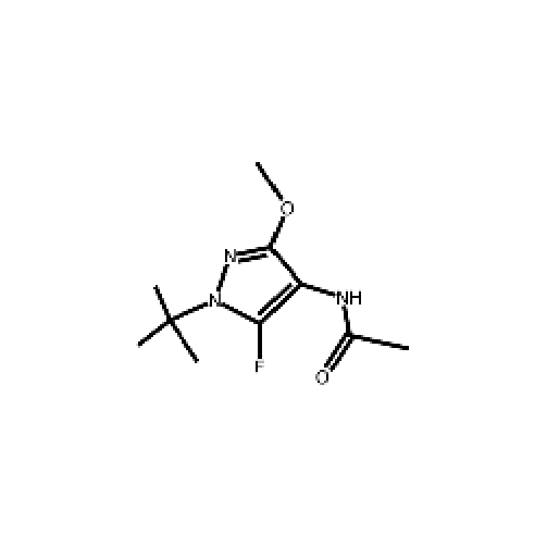 COc1nn(C(C)(C)C)c(F)c1NC(C)=O